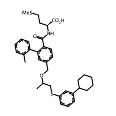 CSCC[C@H](NC(=O)c1ccc(COC(C)CSc2cccc(C3CCCCC3)c2)cc1-c1ccccc1C)C(=O)O